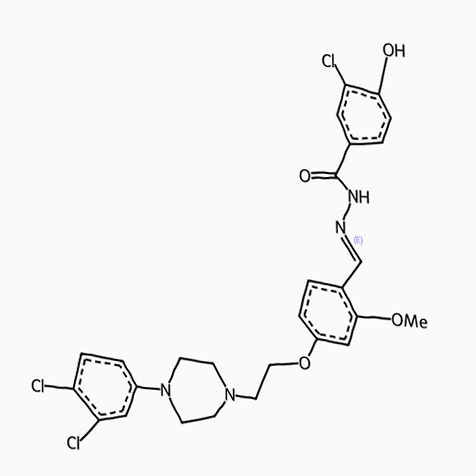 COc1cc(OCCN2CCN(c3ccc(Cl)c(Cl)c3)CC2)ccc1/C=N/NC(=O)c1ccc(O)c(Cl)c1